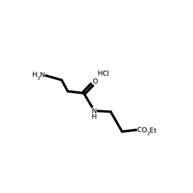 CCOC(=O)CCNC(=O)CCN.Cl